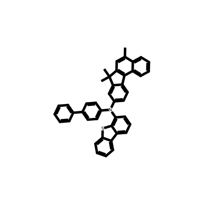 Cc1cc2c(c3ccccc13)-c1ccc(N(c3ccc(-c4ccccc4)cc3)c3cccc4c3sc3ccccc34)cc1C2(C)C